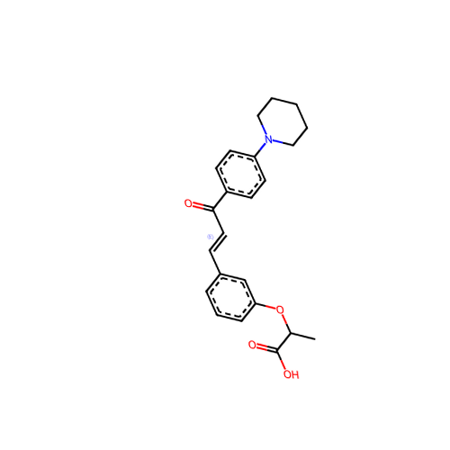 CC(Oc1cccc(/C=C/C(=O)c2ccc(N3CCCCC3)cc2)c1)C(=O)O